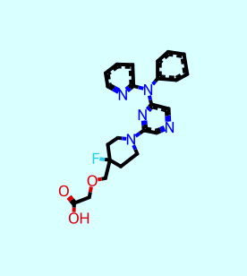 O=C(O)COCC1(F)CCN(c2cncc(N(c3ccccc3)c3ccccn3)n2)CC1